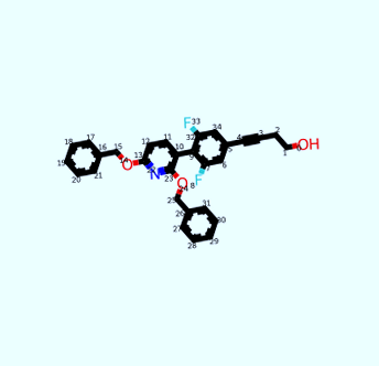 OCCC#Cc1cc(F)c(-c2ccc(OCc3ccccc3)nc2OCc2ccccc2)c(F)c1